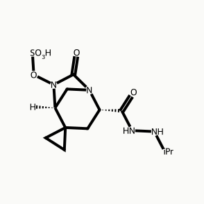 CC(C)NNC(=O)[C@@H]1CC2(CC2)[C@@H]2CN1C(=O)N2OS(=O)(=O)O